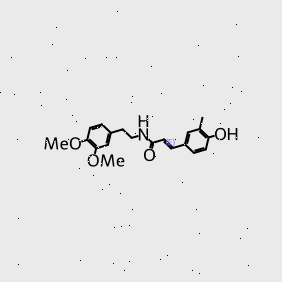 COc1ccc(CCNC(=O)/C=C/c2ccc(O)c(C)c2)cc1OC